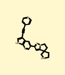 C(#Cc1c[nH]c2ncc(-c3cc4n(n3)CCC43CCNC3)cc12)c1ccncc1